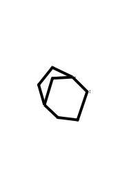 [C]1CCC2CC[C]1C2